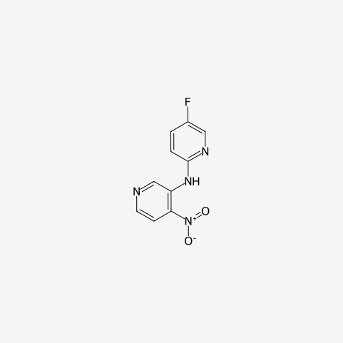 O=[N+]([O-])c1ccncc1Nc1ccc(F)cn1